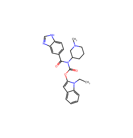 CCn1c(OC(=O)N(C(=O)c2ccc3[nH]cnc3c2)C2CCCN(C)C2)cc2ccccc21